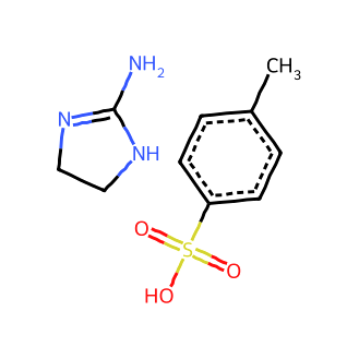 Cc1ccc(S(=O)(=O)O)cc1.NC1=NCCN1